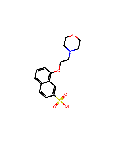 O=S(=O)(O)c1ccc2cccc(OCCN3CCOCC3)c2c1